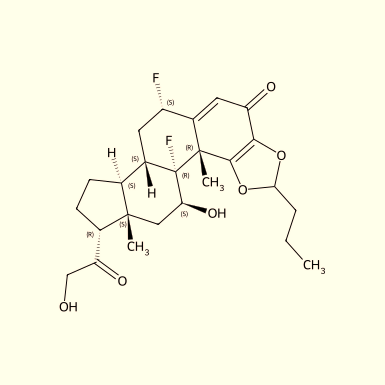 CCCC1OC2=C(O1)[C@@]1(C)C(=CC2=O)[C@@H](F)C[C@H]2[C@@H]3CC[C@@H](C(=O)CO)[C@@]3(C)C[C@H](O)[C@@]21F